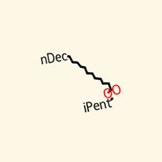 CCCCCCCCCCCCCCCCCCCCCC(=O)OCC(C)CCC